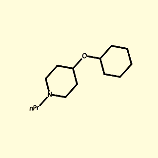 CCCN1CCC(OC2CCCCC2)CC1